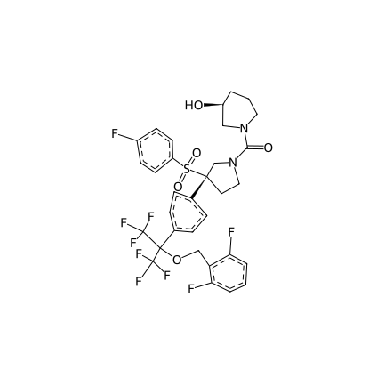 O=C(N1CCC[C@H](O)C1)N1CC[C@](c2ccc(C(OCc3c(F)cccc3F)(C(F)(F)F)C(F)(F)F)cc2)(S(=O)(=O)c2ccc(F)cc2)C1